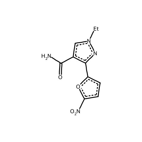 CCn1cc(C(N)=O)c(-c2ccc([N+](=O)[O-])o2)n1